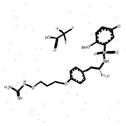 COc1ccc(Cl)cc1S(=O)(=O)N[C@@H](Cc1ccc(OCCCONC(=N)N)cc1)C(=O)O.O=C(O)C(F)(F)F